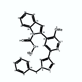 COc1nnc(-c2cnn(Cc3ccccc3)c2)cc1-c1cc2ccccc2n1C(=O)OC(C)(C)C